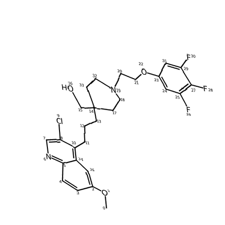 COc1ccc2ncc(Cl)c(CCCC3(CO)CCN(CCOc4cc(F)c(F)c(F)c4)CC3)c2c1